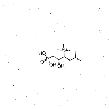 CC(C)C[C@@H]([C@@H](O)CP(=O)(O)O)[N+](C)(C)C